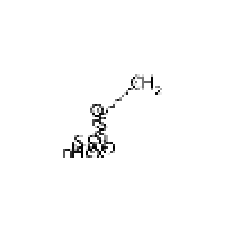 C=CCCCCCCCCC(=O)c1ccc(C2C=CC(C(=O)CCCCCC)(c3ccc(-c4cccs4)s3)S2)s1